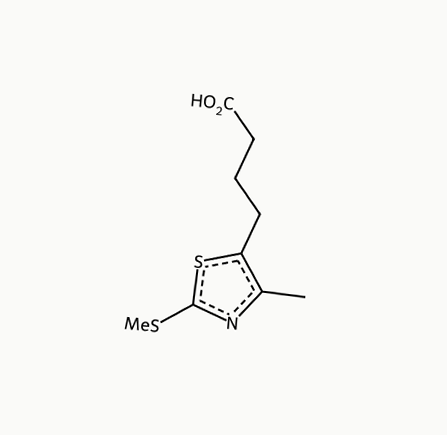 [CH2]Sc1nc(C)c(CCCC(=O)O)s1